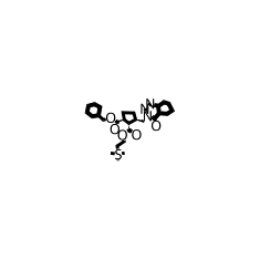 CS(C)(C)CCOC(=O)[C@H]1[C@H](Cn2nnc3ccccc3c2=O)CC[C@@H]1C(=O)OCc1ccccc1